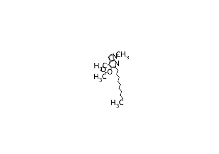 CCCCCCCCCCc1nc2c(ccn2C)c(C)c1OC(C)=O